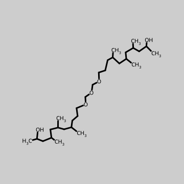 CC(O)CC(C)CC(C)CC(C)CCCOCOCOCCCC(C)CC(C)CC(C)CC(C)O